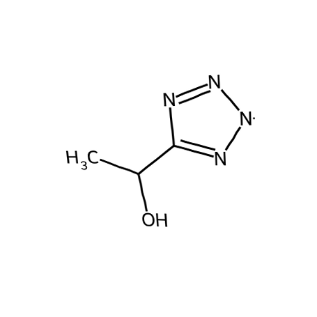 CC(O)C1=N[N]N=N1